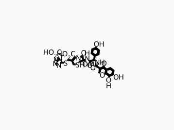 CO[C@@]1(NC(=O)C(NC(=O)c2coc3c(O)c(O)ccc3c2=O)c2ccc(O)cc2)C(=O)N2C(C(=O)O)=C(CSc3nnnn3CC(=O)O)CS[C@H]21